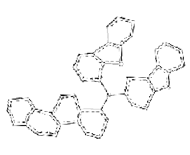 c1ccc2c(c1)ccc1c3cccc(N(c4ccc5sc6ccccc6c5c4)c4cccc5c4oc4ccccc45)c3ccc21